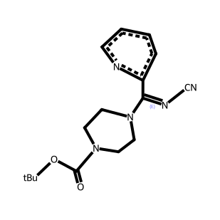 CC(C)(C)OC(=O)N1CCN(/C(=N/C#N)c2ccccn2)CC1